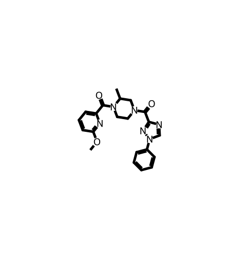 COc1cccc(C(=O)N2CCN(C(=O)c3ncn(-c4ccccc4)n3)CC2C)n1